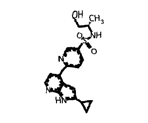 C[C@@H](CO)NS(=O)(=O)c1ccc(-c2ccnc3[nH]c(C4CC4)cc23)nc1